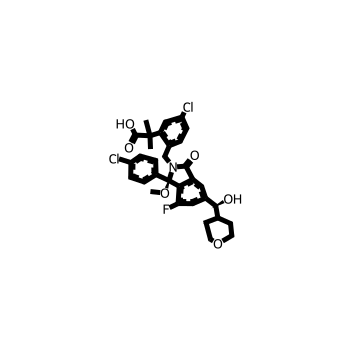 CO[C@]1(c2ccc(Cl)cc2)c2c(F)cc([C@@H](O)C3CCOCC3)cc2C(=O)N1Cc1ccc(Cl)cc1C(C)(C)C(=O)O